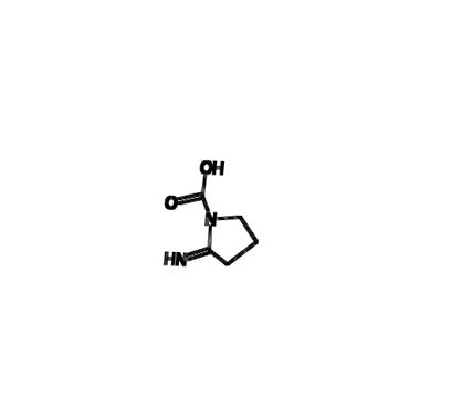 N=C1CCCN1C(=O)O